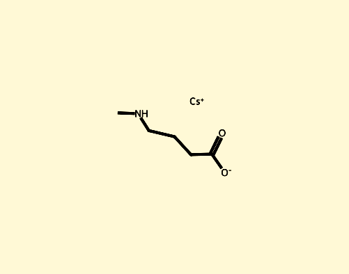 CNCCCC(=O)[O-].[Cs+]